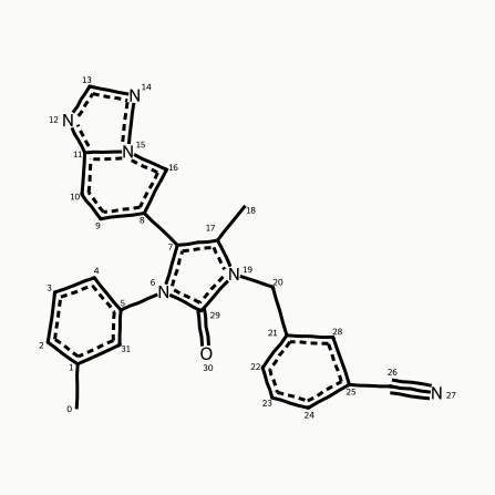 Cc1cccc(-n2c(-c3ccc4ncnn4c3)c(C)n(Cc3cccc(C#N)c3)c2=O)c1